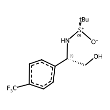 CC(C)(C)[S@@+]([O-])N[C@H](CO)c1ccc(C(F)(F)F)cc1